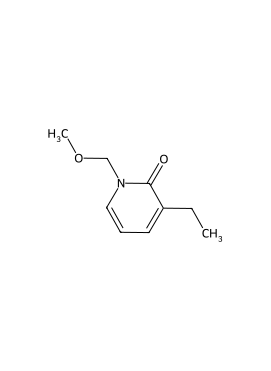 CCc1cccn(COC)c1=O